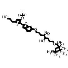 CC(C)(C)CC(C)(C(=O)OCCCC(O)C(CCCOc1ccc2cc(-c3sc(CCCO)cc3OC(F)(F)F)oc2c1)N=O)C(C)(C)C